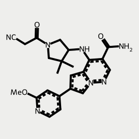 COc1cc(-c2cc3c(NC4CN(C(=O)CC#N)CC4(C)C)c(C(N)=O)cnn3c2)ccn1